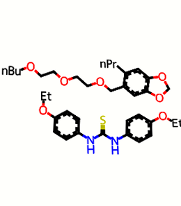 CCCCOCCOCCOCc1cc2c(cc1CCC)OCO2.CCOc1ccc(NC(=S)Nc2ccc(OCC)cc2)cc1